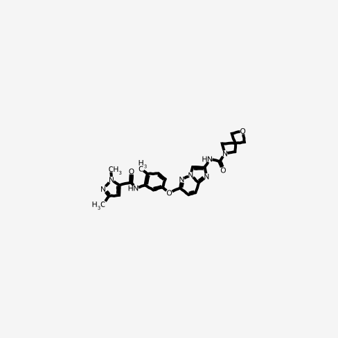 Cc1cc(C(=O)Nc2cc(Oc3ccc4nc(NC(=O)N5CC6(COC6)C5)cn4n3)ccc2C)n(C)n1